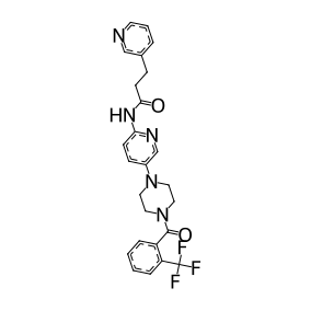 O=C(CCc1cccnc1)Nc1ccc(N2CCN(C(=O)c3ccccc3C(F)(F)F)CC2)cn1